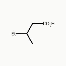 [CH2]C(CC)CC(=O)O